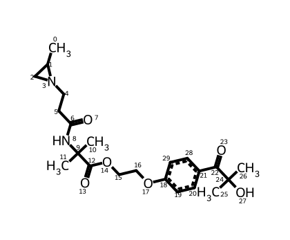 CC1CN1CCC(=O)NC(C)(C)C(=O)OCCOc1ccc(C(=O)C(C)(C)O)cc1